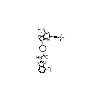 COc1cccc2sc(NC(=O)[C@H]3CC[C@@H](n4cnc5c(N)nc(C#C[Si](C)(C)C)nc54)CC3)nc12